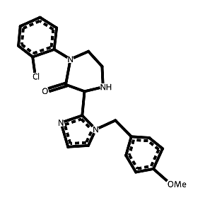 COc1ccc(Cn2ccnc2C2NCCN(c3ccccc3Cl)C2=O)cc1